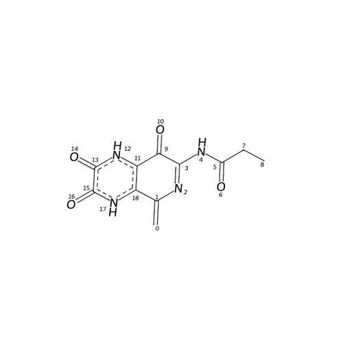 C=C1N=C(NC(=O)CC)C(=O)c2[nH]c(=O)c(=O)[nH]c21